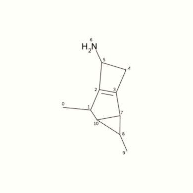 CC1C2=C(CC2N)C2C(C)C12